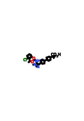 CC(OC(=O)Nc1c(-c2ccc(-c3ccc(C4(C(=O)O)CC4)cc3)cc2)ncn1C)c1ccccc1Cl